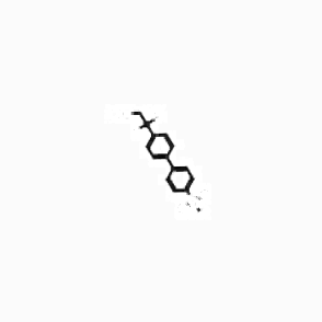 CS(=O)(=O)c1ccc(-c2ccc(C(F)(F)CO)cc2)cc1